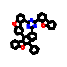 c1ccc(-c2nc(-c3cccc4c3oc3ccccc34)nc(-c3cccc4oc5ccc(-c6ccc(-c7ccccc7)c7oc8ccccc8c67)cc5c34)n2)cc1